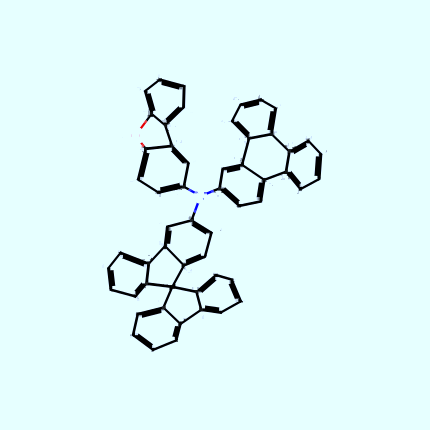 c1ccc2c(c1)-c1ccccc1C21c2ccccc2-c2cc(N(c3ccc4oc5ccccc5c4c3)c3ccc4c5ccccc5c5ccccc5c4c3)ccc21